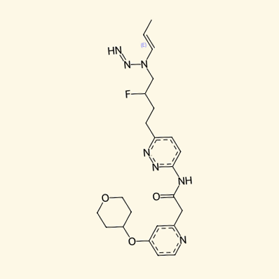 C/C=C/N(CC(F)CCc1ccc(NC(=O)Cc2cc(OC3CCOCC3)ccn2)nn1)N=N